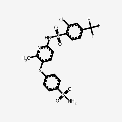 Cc1nc(NS(=O)(=O)c2ccc(C(F)(F)F)cc2Cl)ccc1Sc1ccc(S(N)(=O)=O)cc1